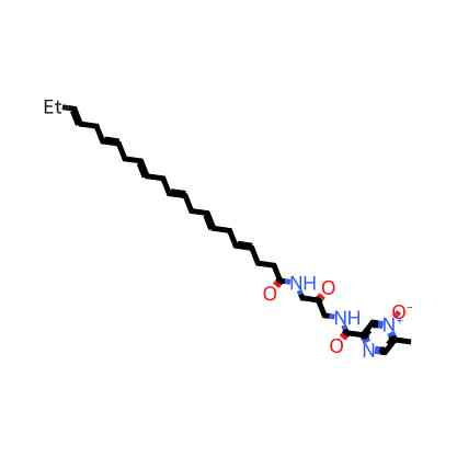 CCC=CCC=CCC=CCC=CCC=CCC=CCCC(=O)NCC(=O)CNC(=O)c1c[n+]([O-])c(C)cn1